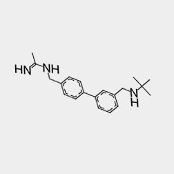 CC(=N)NCc1ccc(-c2cccc(CNC(C)(C)C)c2)cc1